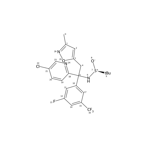 Cc1cc(CC(N[S@@+]([O-])C(C)(C)C)(c2cc(F)cc(C(F)(F)F)c2)c2ccc(Cl)cn2)on1